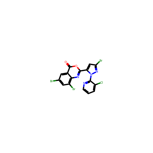 O=c1oc(-c2cc(Br)nn2-c2ncccc2Cl)nc2c(Br)cc(Br)cc12